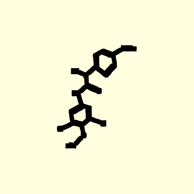 CCCCOc1c(Cl)cc(NC(=O)N(S)c2ccc(NC(C)=O)cc2)cc1Cl